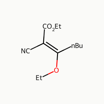 CCCCC(OCC)=C(C#N)C(=O)OCC